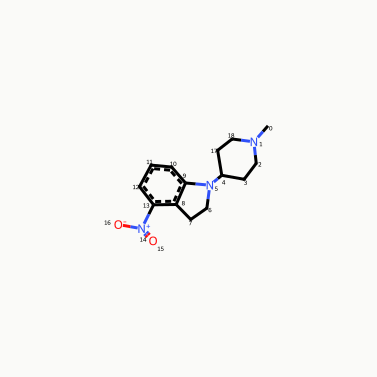 CN1CCC(N2CCc3c2cccc3[N+](=O)[O-])CC1